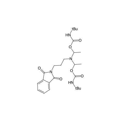 CC(OC(=O)NC(C)(C)C)N(CCCN1C(=O)c2ccccc2C1=O)C(C)OC(=O)NC(C)(C)C